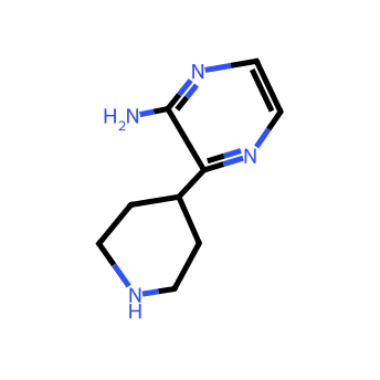 Nc1nccnc1C1CCNCC1